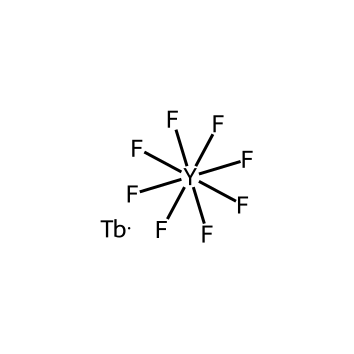 [F][Y]([F])([F])([F])([F])([F])([F])[F].[Tb]